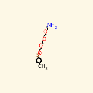 Cc1ccc(SOCCOCCOCCOCCN)cc1